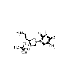 Cc1cn([C@H]2C[C@H](O[Si](C)(C)C(C)(C)C)[C@@H](CCN)O2)c(=O)[nH]c1=O